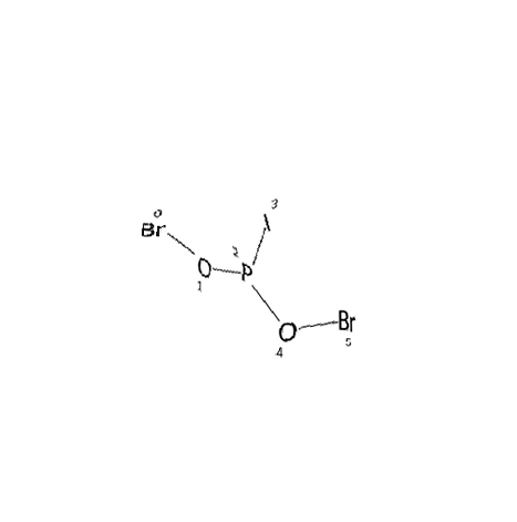 BrOP(I)OBr